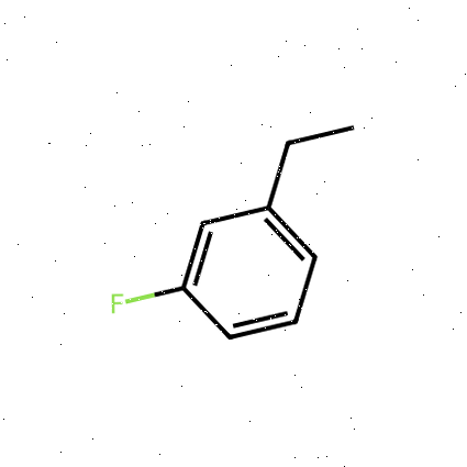 CCc1cccc(F)c1